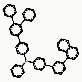 c1ccc(-c2ccc(-c3ccc(N(c4ccccc4)c4ccc(-c5cccc(-c6cccc7ccccc67)c5)cc4)cc3)cc2-c2ccccc2)cc1